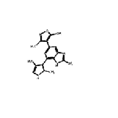 CC1=CNC(C)C1c1cc(-c2c(C)noc2C)cc2nc(C)[nH]c12